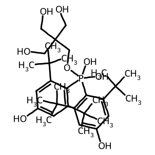 CC(C)(C)c1cc(O)cc(C(C)(C)C)c1P(O)(O)(OCC(CO)(CO)CO)c1c(C(C)(C)C)cc(O)cc1C(C)(C)C